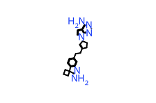 NC1=Nc2cc(CCC3=CC(n4ccc5c(N)ncnc54)CC3)ccc2C12CCC2